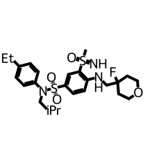 CCc1ccc(N(CC(C)C)S(=O)(=O)c2ccc(NCC3(F)CCOCC3)c(S(C)(=N)=O)c2)cc1